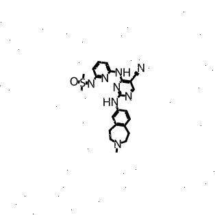 CN1CCc2ccc(Nc3ncc(C#N)c(Nc4cccc(N=S(C)(C)=O)n4)n3)cc2CC1